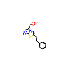 OCc1cnc2sc(CCc3ccccc3)cn12